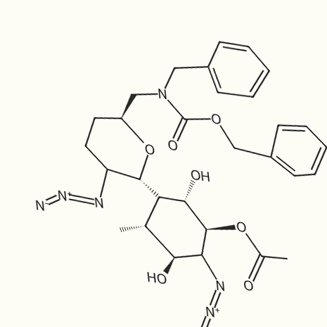 CC(=O)O[C@H]1C(N=[N+]=[N-])[C@@H](O)[C@H](C)C([C@H]2O[C@H](CN(Cc3ccccc3)C(=O)OCc3ccccc3)CCC2N=[N+]=[N-])[C@@H]1O